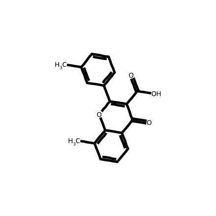 Cc1cccc(-c2oc3c(C)cccc3c(=O)c2C(=O)O)c1